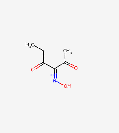 CCC(=O)/C(=N/O)C(C)=O